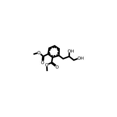 COC(=O)c1cccc(CC(O)CO)c1C(=O)OC